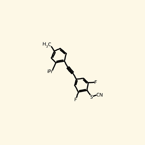 Cc1ccc(C#Cc2cc(F)c(SC#N)c(F)c2)c(C(C)C)c1